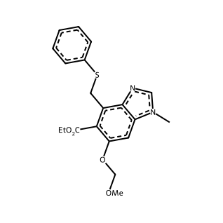 CCOC(=O)c1c(OCOC)cc2c(ncn2C)c1CSc1ccccc1